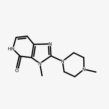 CN1CCN(c2nc3cc[nH]c(=O)c3n2C)CC1